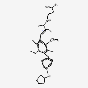 COc1c(C)c(-c2ccc(NC3CCCC3)cc2)c(OC)c(C)c1/C=C(\C)C(=O)NCCC(=O)O